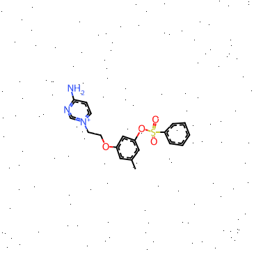 Cc1cc(OCC[n+]2ccc(N)nc2)cc(OS(=O)(=O)c2ccccc2)c1